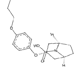 CCCOc1ccc(O[C@@H]2C[C@H]3CC[C@@H](C2)N3C(=O)O)cc1